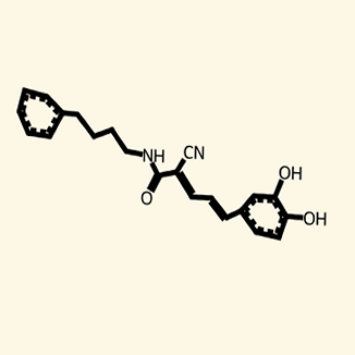 N#C/C(=C\C=C\c1ccc(O)c(O)c1)C(=O)NCCCCc1ccccc1